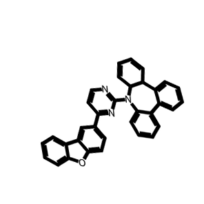 C1=CC2c3ccccc3-c3ccccc3N(c3nccc(-c4ccc5oc6ccccc6c5c4)n3)C2C=C1